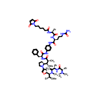 C=C([C@@H](NC(=O)[C@H](C(C)C)N(C)C)C(C)C)N(C)[C@@H]([C@H](CC)OC)[C@H]1CC(N2CCC[C@H]2[C@H](OC)[C@@H](C)C(=O)N[C@@H](Cc2ccccc2)C(=O)Nc2ccc(NC(=O)[C@H](CCCNC(N)=O)NC(=O)[C@@H](NC(=O)CCCCCN3C(=O)C=CC3=O)C(C)C)cc2)=CO1